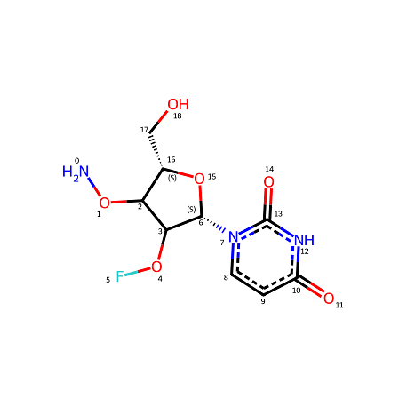 NOC1C(OF)[C@@H](n2ccc(=O)[nH]c2=O)O[C@H]1CO